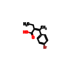 CCC(C(=O)O)=C(C)c1ccc(Br)cc1